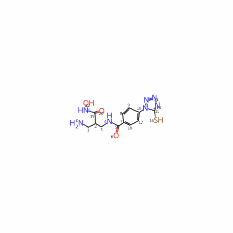 NCC(CNC(=O)c1ccc(-n2nnnc2S)cc1)C(=O)NO